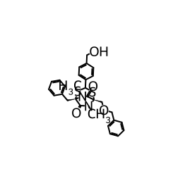 CN1C(=O)[C@]2(Cc3ccccc3)SC(c3ccc(CO)cc3)S[C@@]1(COCc1ccccc1)C(=O)N2C